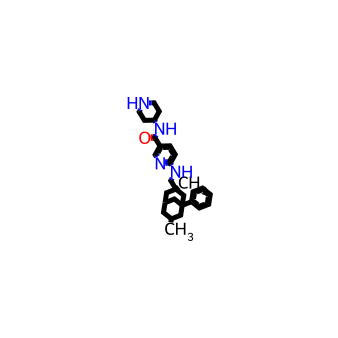 CC1CC2CC(C)(CNc3ccc(C(=O)NC4CCNCC4)cn3)CC(c3ccccc3)(C1)C2